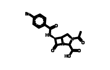 CC(=O)N1CC2[C@H](NC(=O)c3ccc(Br)cc3)C(=O)N2C1C(=O)O